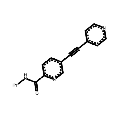 CC(C)NC(=O)c1ccc(C#Cc2ccncc2)cn1